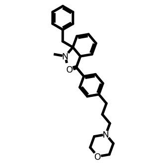 CN(C)C1(Cc2ccccc2)C=CC=CC1C(=O)c1ccc(CCCN2CCOCC2)cc1